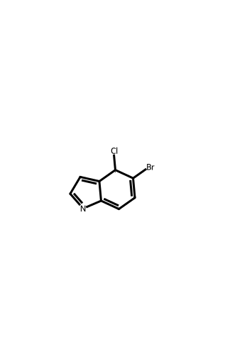 Cl[C]1C(Br)=CC=C2N=CC=C12